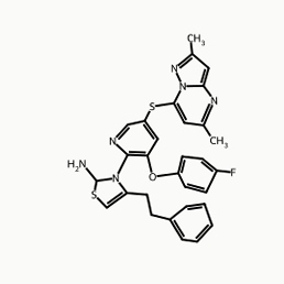 Cc1cc(Sc2cnc(N3C(CCc4ccccc4)=CSC3N)c(Oc3ccc(F)cc3)c2)n2nc(C)cc2n1